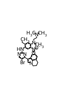 CCc1cc(N(C)CCN(C)C)c([N+](=O)[O-])cc1Nc1ncc(Br)c(-c2cn3c4c(cccc24)CCC3)n1